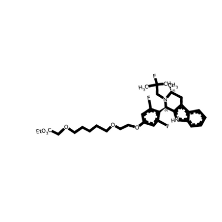 CCOC(=O)COCCCCCOCCOc1cc(F)c([C@@H]2c3[nH]c4ccccc4c3C[C@@H](C)N2CC(C)(C)F)c(F)c1